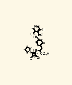 O=C(Nc1ccc(C[C@H](Nc2c(N3CCCC3)c(=O)c2=O)C(=O)O)cc1)c1c(Cl)cncc1Cl